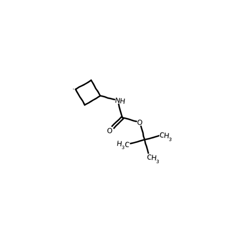 CC(C)(C)OC(=O)NC1C[CH]C1